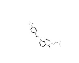 CN(C)CCn1ccc2c(NC(=O)c3ccc(S(C)(=O)=O)cc3)cccc2c1=O